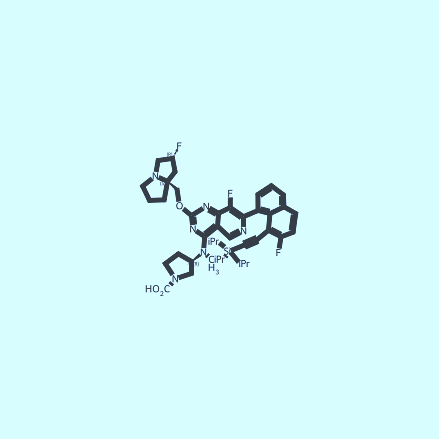 CC(C)[Si](C#Cc1c(F)ccc2cccc(-c3ncc4c(N(C)[C@@H]5CCN(C(=O)O)C5)nc(OC[C@@]56CCCN5C[C@H](F)C6)nc4c3F)c12)(C(C)C)C(C)C